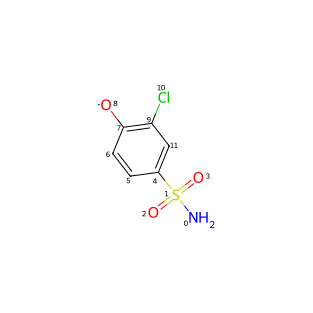 NS(=O)(=O)c1ccc([O])c(Cl)c1